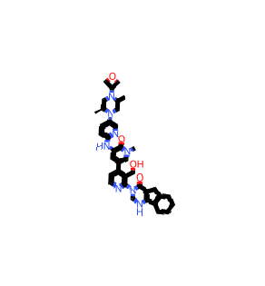 CC1CN(c2ccc(Nc3cc(-c4ccnc(N5CNC6=C(CC7=C6CCCC7)C5=O)c4CO)cn(C)c3=O)nc2)[C@@H](C)CN1C1COC1